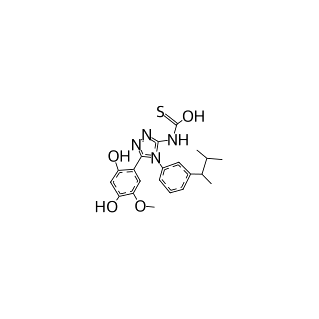 COc1cc(-c2nnc(NC(O)=S)n2-c2cccc(C(C)C(C)C)c2)c(O)cc1O